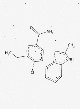 CCc1cc(C(N)=O)ccc1Cl.Cc1cc2ccccc2[nH]1